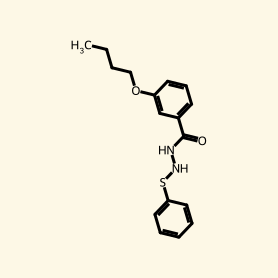 CCCCOc1cccc(C(=O)NNSc2ccccc2)c1